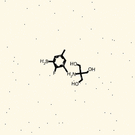 Bc1cc(C)cc(C)c1F.NC(CO)(CO)CO